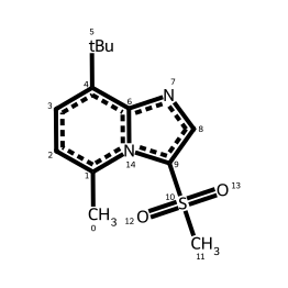 Cc1ccc(C(C)(C)C)c2ncc(S(C)(=O)=O)n12